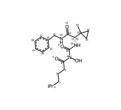 CC(C)CCCC(=O)N(O)C(=O)N[C@H](C(=O)NCc1ccccc1)C1(C)CC1